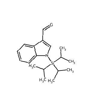 CC(C)[Si](C(C)C)(C(C)C)n1cc(C=O)c2ccccc21